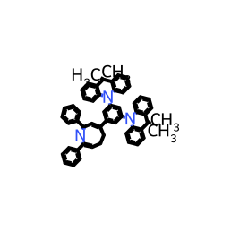 CC1(C)c2ccccc2N(c2cc(/C3=C/C(c4ccccc4)=N\C(c4ccccc4)=C/CC3)cc(N3c4ccccc4C(C)(C)c4ccccc43)c2)c2ccccc21